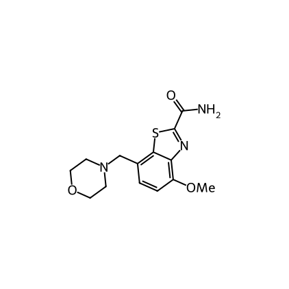 COc1ccc(CN2CCOCC2)c2sc(C(N)=O)nc12